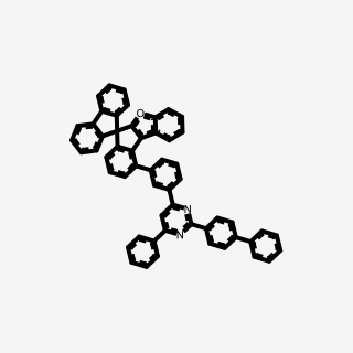 c1ccc(-c2ccc(-c3nc(-c4ccccc4)cc(-c4cccc(-c5cccc6c5-c5c(oc7ccccc57)C65c6ccccc6-c6ccccc65)c4)n3)cc2)cc1